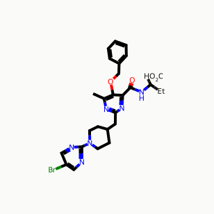 CCC(NC(=O)c1nc(CC2CCN(c3ncc(Br)cn3)CC2)nc(C)c1OCc1ccccc1)C(=O)O